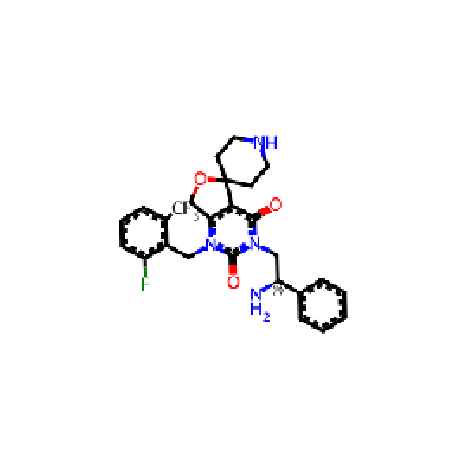 N[C@@H](Cn1c(=O)c2c(n(Cc3c(F)cccc3C(F)(F)F)c1=O)COC21CCNCC1)c1ccccc1